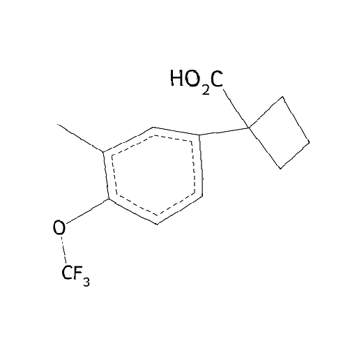 Cc1cc(C2(C(=O)O)CCC2)ccc1OC(F)(F)F